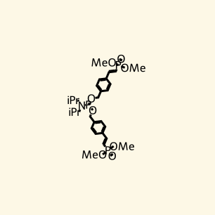 COP(=O)(/C=C/c1ccc(COP(OCc2ccc(/C=C/P(=O)(OC)OC)cc2)N(C(C)C)C(C)C)cc1)OC